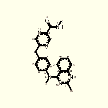 CNC(=O)c1cnc(Cc2ccc(N(C)c3nc(C)nc4ccccc34)cc2)cn1